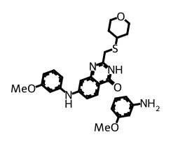 COc1cccc(N)c1.COc1cccc(Nc2ccc3c(=O)[nH]c(CSC4CCOCC4)nc3c2)c1